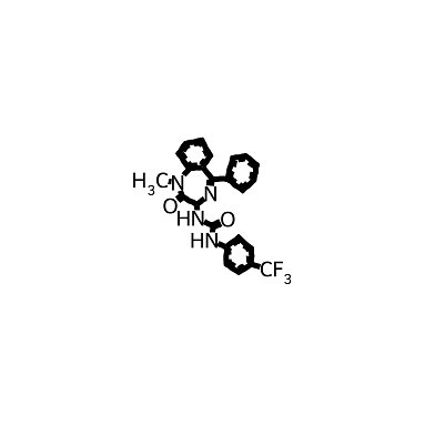 CN1C(=O)C(NC(=O)Nc2ccc(C(F)(F)F)cc2)N=C(c2ccccc2)c2ccccc21